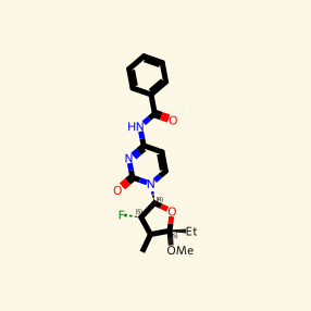 CC[C@]1(OC)O[C@@H](n2ccc(NC(=O)c3ccccc3)nc2=O)[C@@H](F)C1C